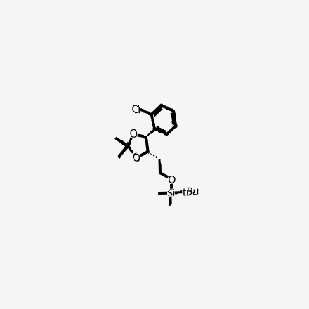 CC1(C)O[C@@H](CCO[Si](C)(C)C(C)(C)C)[C@H](c2ccccc2Cl)O1